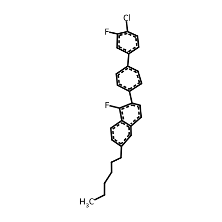 CCCCCCc1ccc2c(F)c(-c3ccc(-c4ccc(Cl)c(F)c4)cc3)ccc2c1